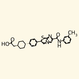 Cc1cccc(NC(=O)c2cn3cc(-c4ccc([C@H]5CC[C@H](CC(=O)O)CC5)cc4)sc3n2)c1